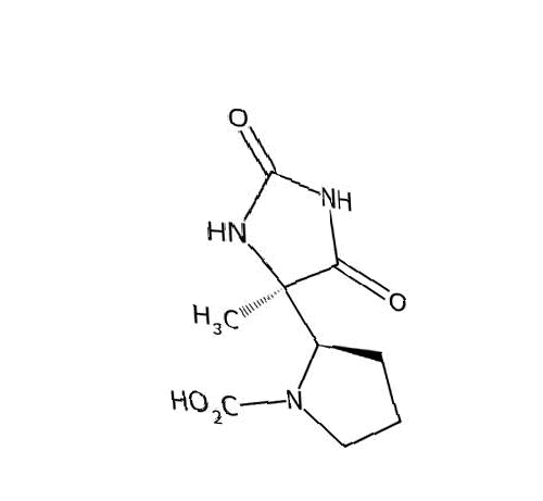 C[C@]1([C@H]2CCCN2C(=O)O)NC(=O)NC1=O